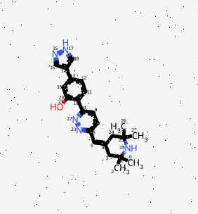 CC1(C)CC(=Cc2ccc(-c3ccc(-c4cn[nH]c4)cc3O)nn2)CC(C)(C)N1